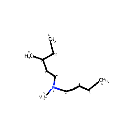 CCCCN(C)CCC(C)CC